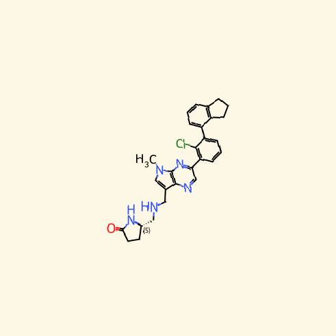 Cn1cc(CNC[C@@H]2CCC(=O)N2)c2ncc(-c3cccc(-c4cccc5c4CCC5)c3Cl)nc21